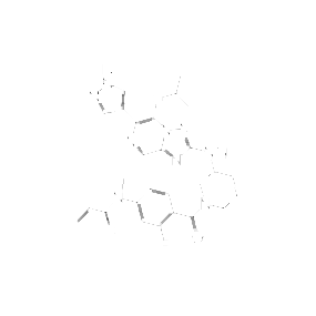 C=CC(=O)Nc1ccc(C(=O)N2CCCC(Nc3nc4cnc(-c5cn[nH]c5)c(OC(C)C)n4n3)C2)c(F)c1